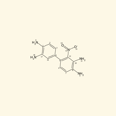 Nc1ccc(-c2ccc(N)c(N)c2[N+](=O)[O-])cc1N